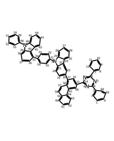 c1ccc(-c2nc(-c3ccccc3)nc(-c3cc(-c4ccc5c(c4)c4ccccc4n5-c4ccc(-c5cccc6c5c5ccccc5n6-c5ccccc5)cc4)c4ccc5ccccc5c4c3)n2)cc1